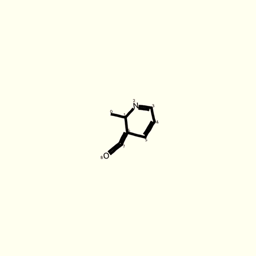 CC1N=CC=CC1=C=O